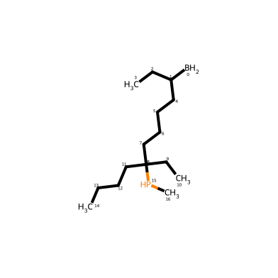 BC(CC)CCCCC(CC)(CCCC)PC